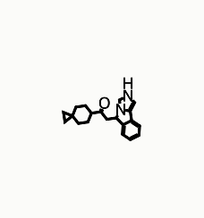 O=C(CC1c2ccccc2C2=CNCN21)C1CCC2(CC1)CC2